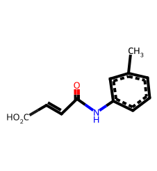 Cc1cccc(NC(=O)C=CC(=O)O)c1